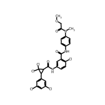 COCC(=O)N(C)c1ccc(NC(=O)c2cc(NC(=O)C3C(c4cc(Cl)cc(Cl)c4)C3(Cl)Cl)ccc2Cl)cc1